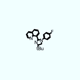 CC(C)(C)C1CN(c2ccc(F)cc2)C(c2cccc3cccnc23)=N1